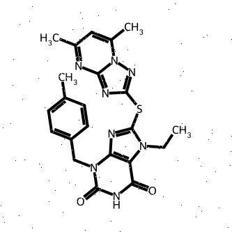 CCn1c(Sc2nc3nc(C)cc(C)n3n2)nc2c1c(=O)[nH]c(=O)n2Cc1ccc(C)cc1